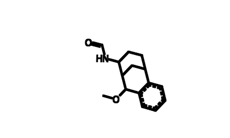 COC1c2ccccc2C2CCC(NC=O)C1C2